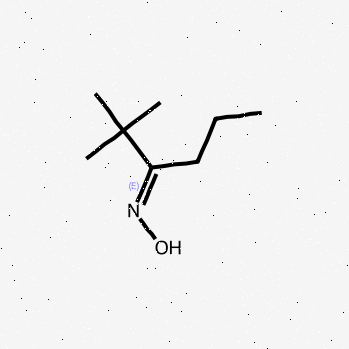 CCC/C(=N\O)C(C)(C)C